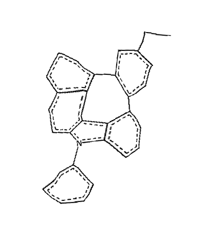 CCc1ccc2c(c1)-c1cccc3ccc4c(c13)c1c-2cccc1n4-c1ccccc1